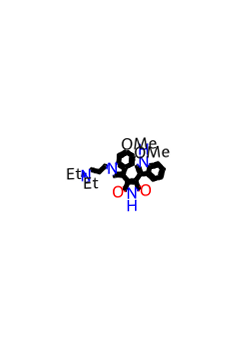 CCN(CC)CCCn1cc(C2=C(c3c[nH]c4ccccc34)C(=O)NC2=O)c2cc(OC)c(OC)cc21